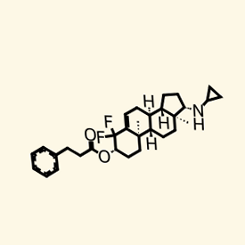 C[C@]12CC[C@H]3[C@@H](CC=C4C(F)(F)[C@@H](OC(=O)CCc5ccccc5)CC[C@@]43C)[C@@H]1CC[C@@H]2NC1CC1